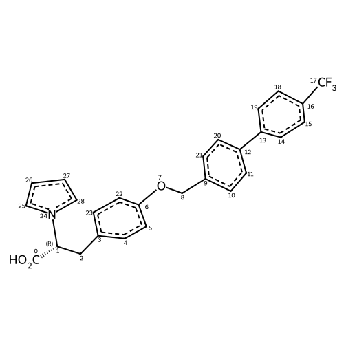 O=C(O)[C@@H](Cc1ccc(OCc2ccc(-c3ccc(C(F)(F)F)cc3)cc2)cc1)n1cccc1